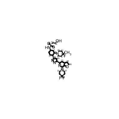 CC1(F)CCN(c2cc(NS(=O)(=O)CCO)ccc2-n2cc(-c3cc4ccoc4c(N4CCC(F)(F)CC4)n3)nn2)CC1